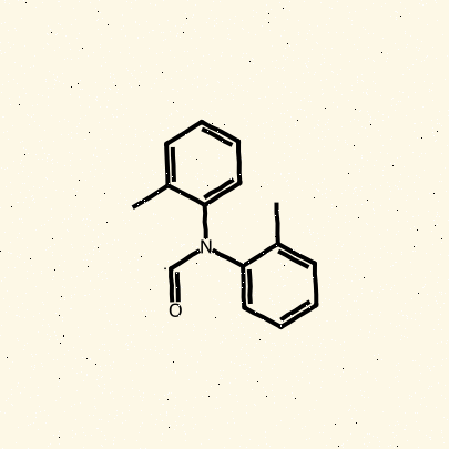 Cc1ccccc1N([C]=O)c1ccccc1C